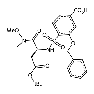 CON(C)C(=O)[C@H](CC(=O)OC(C)(C)C)NS(=O)(=O)c1ccc(C(=O)O)cc1OCc1ccccc1